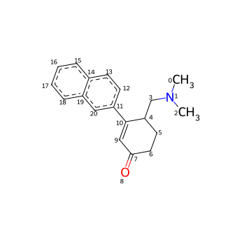 CN(C)CC1CCC(=O)C=C1c1ccc2ccccc2c1